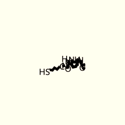 COC(C)n1ncc2c3[nH]nc(C(=O)NCCCCCCS)c3ccc21